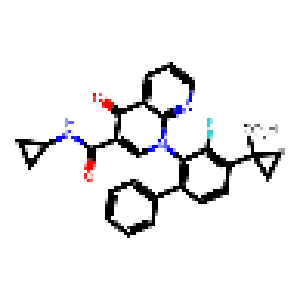 O=C(NC1CC1)c1cn(-c2c(-c3ccccc3)ccc(C3(C(=O)O)CC3)c2F)c2ncccc2c1=O